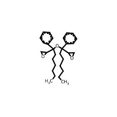 CCCCCCC(OC(CCCCCC)(c1ccccc1)C1CO1)(c1ccccc1)C1CO1